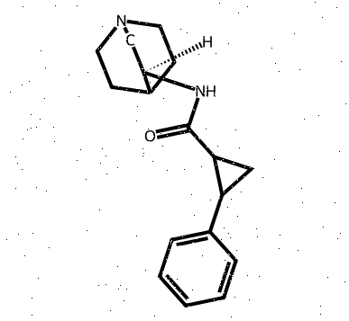 O=C(N[C@@H]1CN2CCC1CC2)C1CC1c1ccccc1